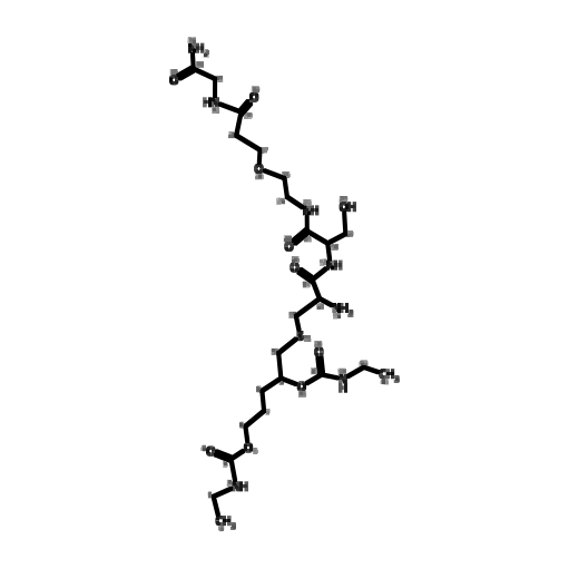 CCNC(=O)OCCCC(CSCC(N)C(=O)NC(CO)C(=O)NCCOCCC(=O)NCC(N)=O)OC(=O)NCC